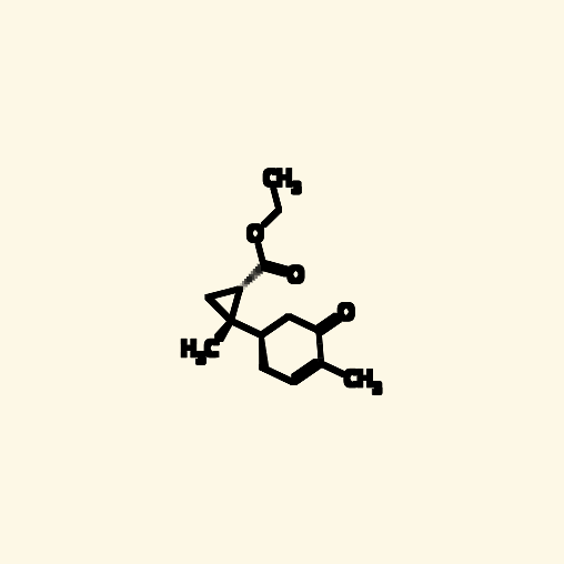 CCOC(=O)[C@H]1C[C@@]1(C)[C@@H]1CC=C(C)C(=O)C1